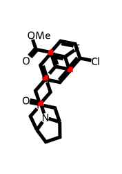 COC(=O)c1ccc(Cl)cc1OCC(=O)N1C2CCC1CN(Cc1ccc(F)cc1)C2